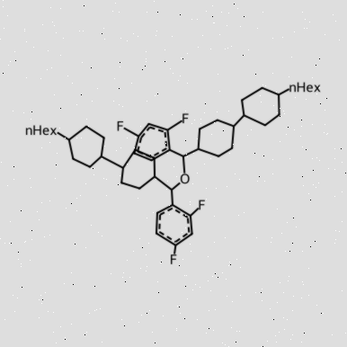 CCCCCCC1CCC(C2CCC(C(OC(c3ccc(F)cc3F)C3CCC(C4CCC(CCCCCC)CC4)CC3)c3ccc(F)cc3F)CC2)CC1